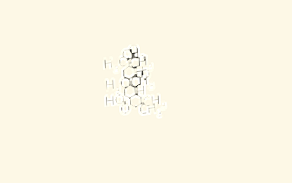 CC1(C)CC[C@]2(C(=O)O)CC[C@]3(C)C(=CC(=O)[C@@H]4[C@@]5(C)CCC(=O)C(C)(C)C5CC[C@]43C)[C@H]2C1